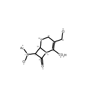 CC(=O)N(Cl)C1C(=O)N2C(C(=O)O)=C(CCl)CSC12